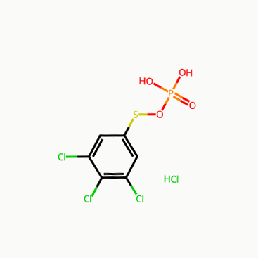 Cl.O=P(O)(O)OSc1cc(Cl)c(Cl)c(Cl)c1